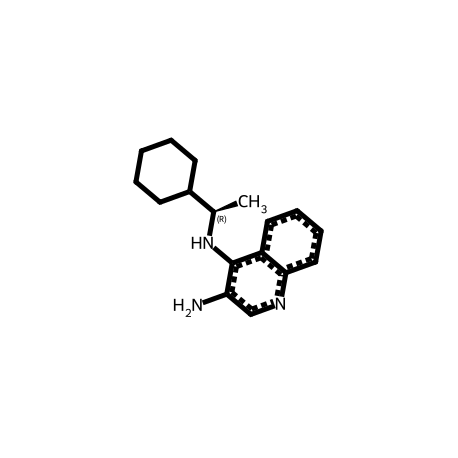 C[C@@H](Nc1c(N)cnc2ccccc12)C1CCCCC1